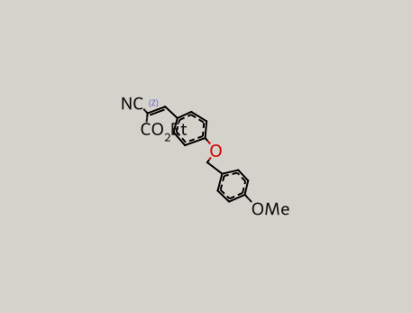 CCOC(=O)/C(C#N)=C\c1ccc(OCc2ccc(OC)cc2)cc1